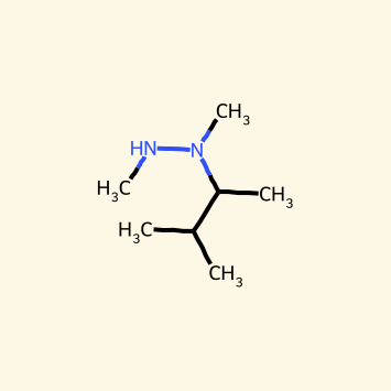 CNN(C)C(C)C(C)C